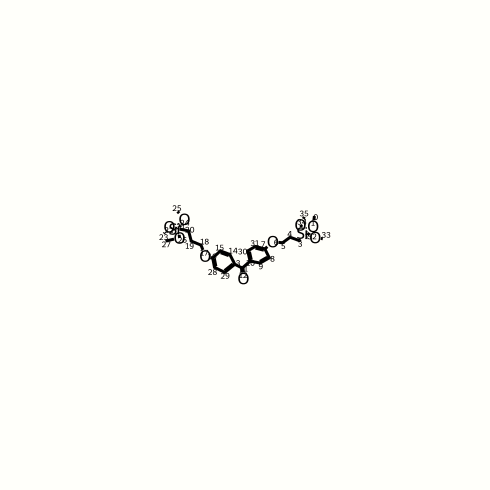 CO[Si](CCCOc1ccc(C(=O)c2ccc(OCCC[Si](OC)(OC)OC)cc2)cc1)(OC)OC